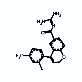 Cc1cc(C(F)(F)F)ccc1C1=CCOc2ccc(C(=O)N=C(N)N)cc21